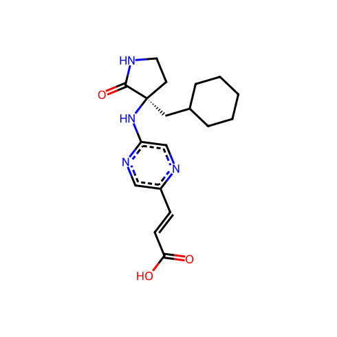 O=C(O)/C=C/c1cnc(N[C@]2(CC3CCCCC3)CCNC2=O)cn1